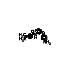 CN(C)C1CCN(C(=O)Nc2cc(Oc3ccc(N)nc3)ccn2)C1